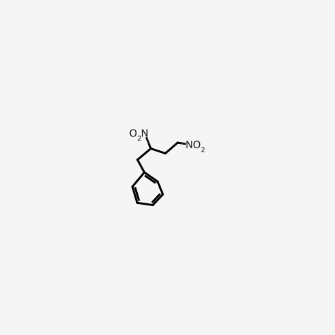 O=[N+]([O-])CCC(Cc1ccccc1)[N+](=O)[O-]